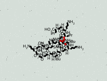 CC[C@H](C)[C@H](NC(=O)[C@H](C)NC(=O)CNC(=O)[C@H](C)NC(=O)[C@H](CCCCN)NC(=O)[C@H](CO)NC(=O)[C@H](C)NC(=O)[C@H](CCSC)NC(=O)CN)C(=O)N[C@@H](C)C(=O)NCC(=O)N[C@@H](CCCCN)C(=O)N[C@H](C(=O)N[C@@H](C)C(=O)N[C@@H](CCCCN)C(=O)N[C@H](C(=O)N[C@@H](C)C(=O)N[C@@H](CC(C)C)C(=O)N[C@@H](CCCCN)C(=O)N[C@@H](C)C(=O)N[C@@H](CC(C)C)C(=O)O)C(C)C)[C@@H](C)CC